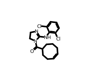 O=C(C1CCC=CCCC1)N1CCN=C1Nc1c(Cl)cccc1Cl